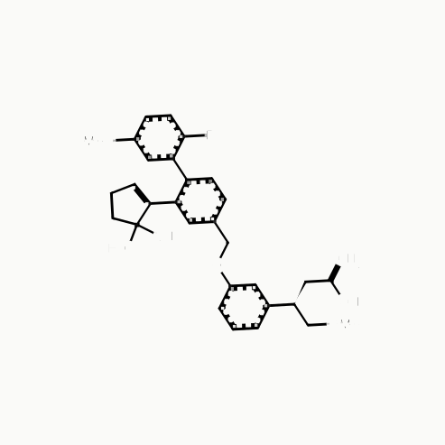 C=C(O)C[C@@H](COC)c1cccc(OCc2ccc(-c3cc(OC)ccc3F)c(C3=CCCC3(C)C)c2)c1